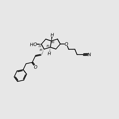 N#CCCCOC1C[C@H]2C[C@H](O)[C@@H](C=CC(=O)Cc3ccccc3)[C@@H]2C1